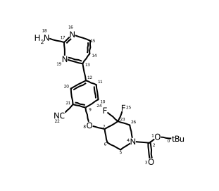 CC(C)(C)OC(=O)N1CCC(Oc2ccc(-c3ccnc(N)n3)cc2C#N)C(F)(F)C1